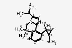 CC(C)c1cnc2n1CS(C)(C)c1nccc(C3(C)CC3C)c1-2